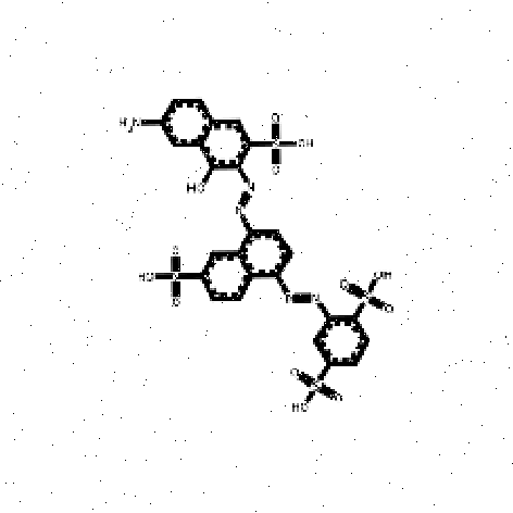 Nc1ccc2cc(S(=O)(=O)O)c(N=Nc3ccc(N=Nc4cc(S(=O)(=O)O)ccc4S(=O)(=O)O)c4ccc(S(=O)(=O)O)cc34)c(O)c2c1